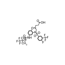 CC(C)(OC(=O)Nc1ccc2c(c1)N(S(=O)(=O)c1ccc(F)c(C(F)(F)F)c1)C[C@H](CCC(=O)O)O2)C(F)(F)F